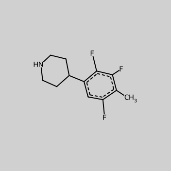 Cc1c(F)cc(C2CCNCC2)c(F)c1F